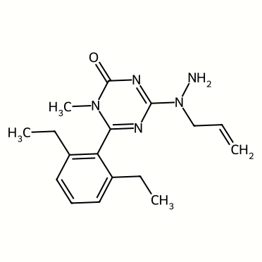 C=CCN(N)c1nc(-c2c(CC)cccc2CC)n(C)c(=O)n1